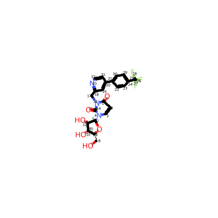 O=c1ccn([C@@H]2O[C@H](CO)[C@H](O)C2O)c(=O)n1Cc1cc(-c2ccc(C(F)(F)F)cc2)ccn1